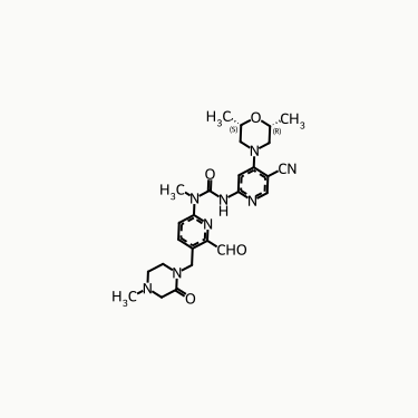 C[C@@H]1CN(c2cc(NC(=O)N(C)c3ccc(CN4CCN(C)CC4=O)c(C=O)n3)ncc2C#N)C[C@H](C)O1